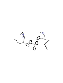 C/C=C\C(CCC)OOC(=O)OOC(/C=C\C)CCC